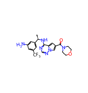 C[C@@H](Nc1ncnn2cc(C(=O)N3CCOCC3)cc12)c1cc(N)cc(C(F)(F)F)c1